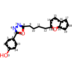 Oc1ccc(-c2nnc(CCCCc3ccc4cccc-4o3)o2)cc1